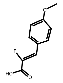 COc1ccc(C=C(F)C(=O)O)cc1